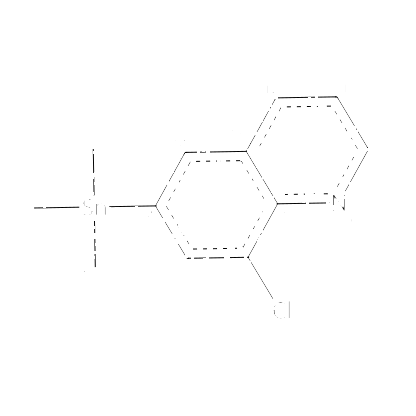 [CH3][Sn]([CH3])([CH3])[c]1cc(Cl)c2ncccc2c1